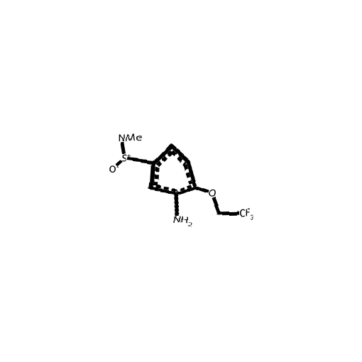 CN[S+]([O-])c1ccc(OCC(F)(F)F)c(N)c1